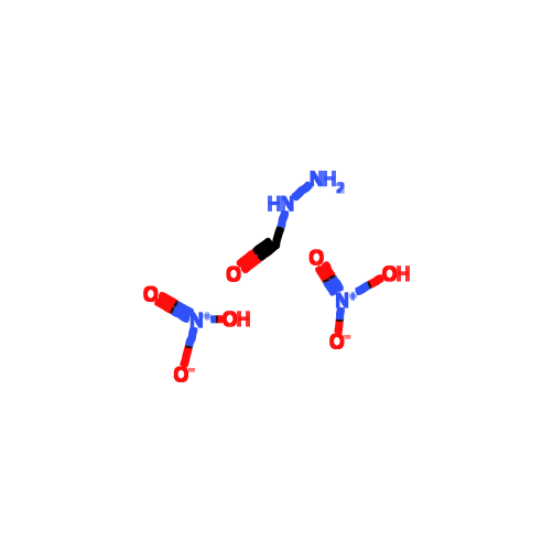 NNC=O.O=[N+]([O-])O.O=[N+]([O-])O